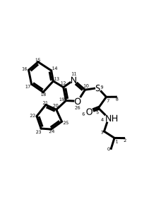 CC(C)CNC(=O)C(C)Sc1nc(-c2ccccc2)c(-c2ccccc2)o1